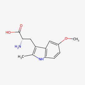 COc1ccc2[nH]c(C)c(C[C@H](N)C(=O)O)c2c1